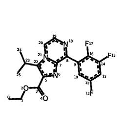 CCOC(=O)c1nc2c(-c3cc(F)cc(F)c3F)nccn2c1C(C)C